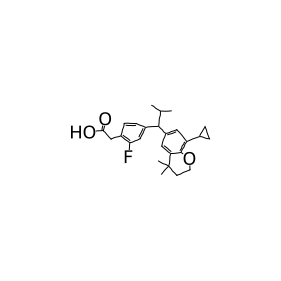 CC(C)C(c1ccc(CC(=O)O)c(F)c1)c1cc(C2CC2)c2c(c1)C(C)(C)CCO2